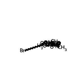 CC#CCn1c(N2CCC[C@@H](NC(=O)CCCCCCCCCCCCCCCBr)C2)nc2c1c(=O)n(Cc1nc(C)c3ccccc3n1)c(=O)n2C